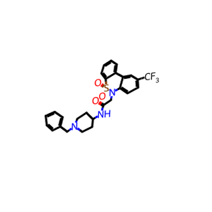 O=C(CN1c2ccc(C(F)(F)F)cc2-c2ccccc2S1(=O)=O)NC1CCN(Cc2ccccc2)CC1